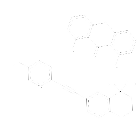 CCOC(=O)c1ccc(C#Cc2ccc3c(c2)C(C)(C)CCS3)nc1.O=C1c2c(O)cccc2Cc2cccc(O)c21